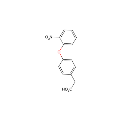 O=C(O)Cc1ccc(Oc2ccccc2[N+](=O)[O-])cc1